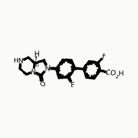 O=C(O)c1ccc(-c2ccc(N3C[C@@H]4CNCCN4C3=O)cc2F)cc1F